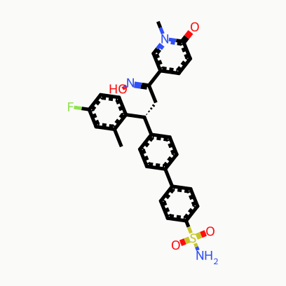 Cc1cc(F)ccc1[C@H](C/C(=N\O)c1ccc(=O)n(C)c1)c1ccc(-c2ccc(S(N)(=O)=O)cc2)cc1